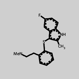 CNCCc1ccccc1Sc1c(C)[nH]c2ccc(F)cc12